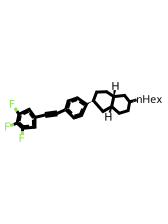 CCCCCCC1CC[C@@H]2C[C@H](c3ccc(C#Cc4cc(F)c(F)c(F)c4)cc3)CC[C@@H]2C1